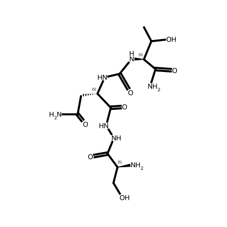 CC(O)[C@H](NC(=O)N[C@@H](CC(N)=O)C(=O)NNC(=O)[C@@H](N)CO)C(N)=O